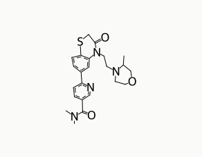 CC1COCCN1CCN1C(=O)CSc2ccc(-c3ccc(C(=O)N(C)C)cn3)cc21